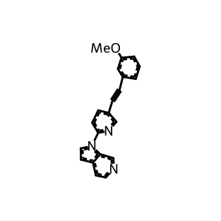 COc1cccc(C#Cc2ccc(-n3ccc4ccncc43)nc2)c1